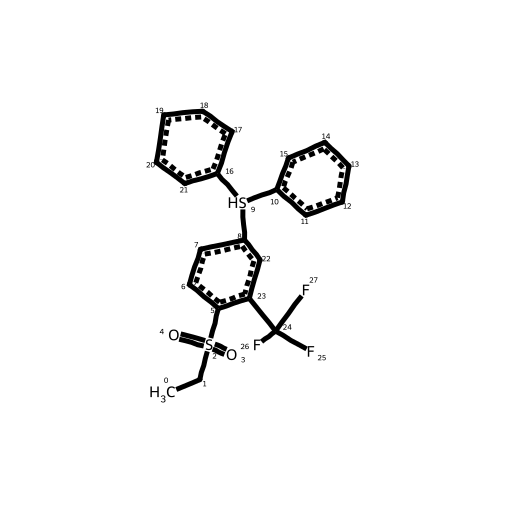 CCS(=O)(=O)c1ccc([SH](c2ccccc2)c2ccccc2)cc1C(F)(F)F